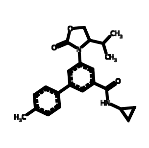 Cc1ccc(-c2cc(C(=O)NC3CC3)cc(N3C(=O)OCC3C(C)C)c2)cc1